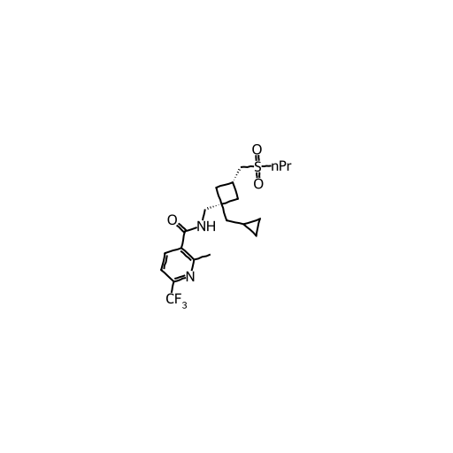 CCCS(=O)(=O)C[C@H]1C[C@](CNC(=O)c2ccc(C(F)(F)F)nc2C)(CC2CC2)C1